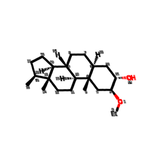 CCO[C@H]1C[C@@]2(C)[C@@H](CC[C@@H]3[C@@H]2CC[C@]2(C)[C@@H](C)CC[C@@H]32)C[C@@H]1O